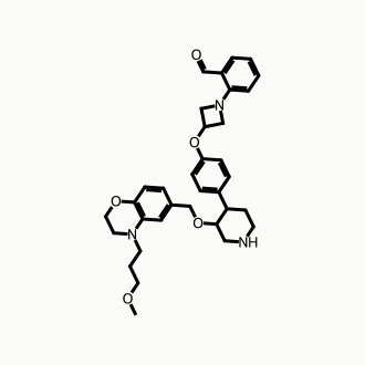 COCCCN1CCOc2ccc(COC3CNCCC3c3ccc(OC4CN(c5ccccc5C=O)C4)cc3)cc21